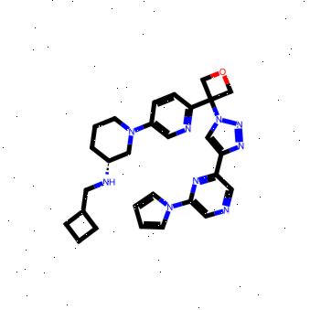 c1ccn(-c2cncc(-c3cn(C4(c5ccc(N6CCC[C@@H](NCC7CCC7)C6)cn5)COC4)nn3)n2)c1